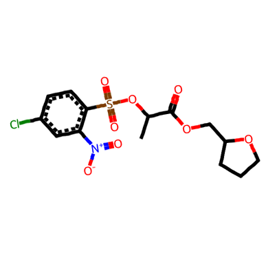 CC(OS(=O)(=O)c1ccc(Cl)cc1[N+](=O)[O-])C(=O)OCC1CCCO1